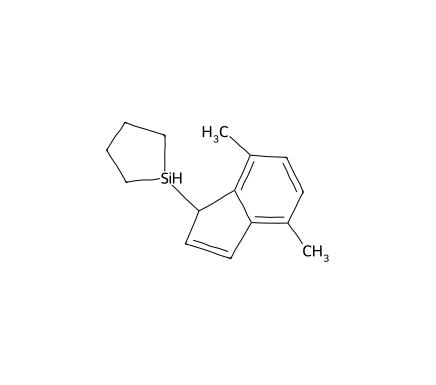 Cc1ccc(C)c2c1C=CC2[SiH]1CCCC1